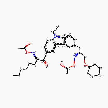 CCCCCCC(=NOC(C)=O)C(=O)c1ccc2c(c1)c1cc(CC(COC3CCCCC3)=NOC(C)=O)ccc1n2CC